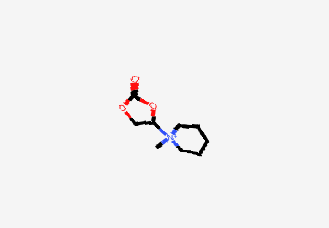 C[N+]1(C2COC(=O)O2)CCCCC1